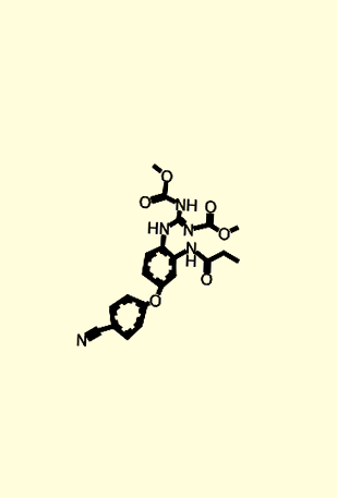 CCC(=O)Nc1cc(Oc2ccc(C#N)cc2)ccc1NC(=NC(=O)OC)NC(=O)OC